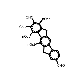 CCCCCCCCc1c(C=O)c(CCCCCCCC)c2c(c1CCCCCCCC)-c1c(cc3c(c1CCCCCCCC)Cc1cc(C=O)ccc1-3)C2